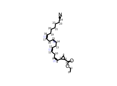 CCOC(=O)C1CC1/C=C\C/C=C\C/C=C\C/C=C\CCCCCC#N